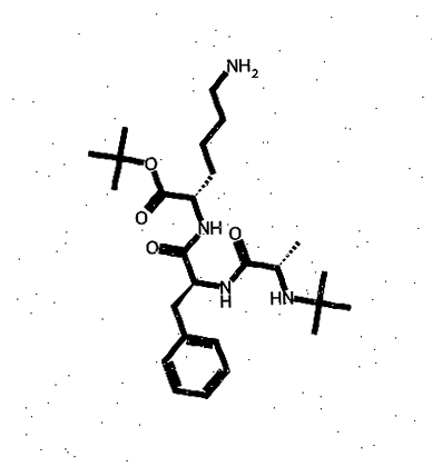 C[C@H](NC(C)(C)C)C(=O)N[C@@H](Cc1ccccc1)C(=O)N[C@@H](CCCCN)C(=O)OC(C)(C)C